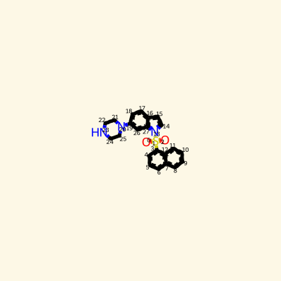 O=S(=O)(c1cccc2ccccc12)n1ccc2ccc(N3CCNCC3)cc21